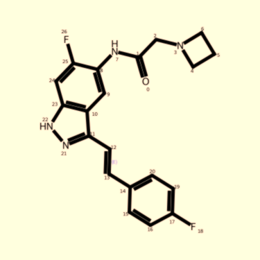 O=C(CN1CCC1)Nc1cc2c(/C=C/c3ccc(F)cc3)n[nH]c2cc1F